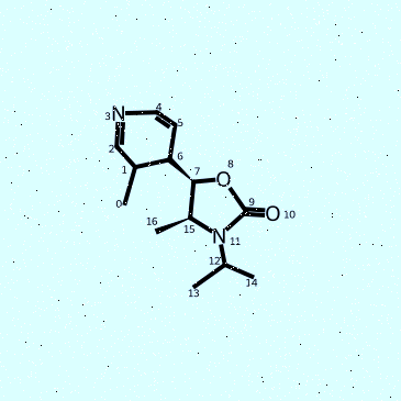 CC1C=NC=CC1[C@H]1OC(=O)N(C(C)C)[C@H]1C